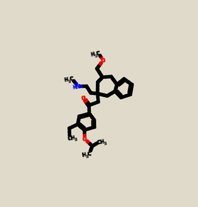 CCc1cc(C(=O)CC2(CCNC)Cc3ccccc3CC(COC)C2)ccc1OC(C)C